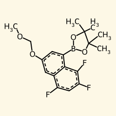 COCOc1cc(B2OC(C)(C)C(C)(C)O2)c2c(F)c(F)cc(F)c2c1